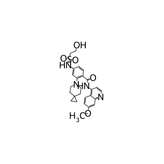 COc1ccc2c(NC(=O)c3ccc(NS(=O)(=O)CCO)cc3N3CCC4(CC3)CC4)ccnc2c1